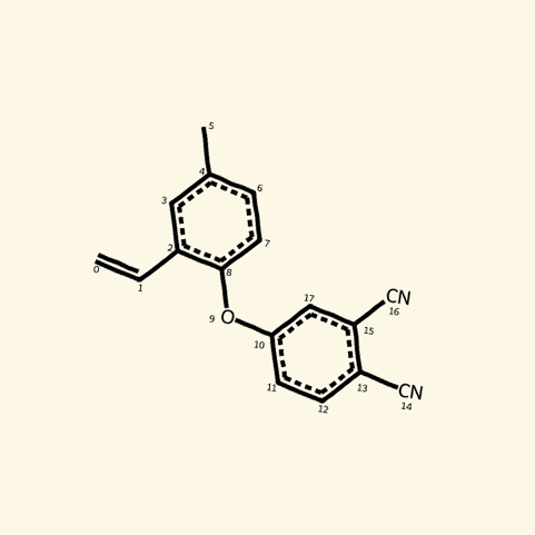 C=Cc1cc(C)ccc1Oc1ccc(C#N)c(C#N)c1